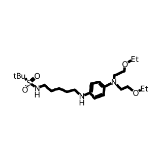 CCOCCN(CCOCC)c1ccc(NCCCCCNS(=O)(=O)C(C)(C)C)cc1